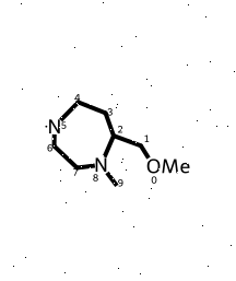 COCC1CC[N]CCN1C